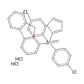 Cl.Cl.[CH2]=[Zr]([C]1=CC=CC1)([c]1ccc(Cl)cc1)([c]1ccc(Cl)cc1)[c]1cccc2c1Cc1ccccc1-2